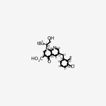 CC(C)(C)[C@@H](CO)n1cc(C(=O)O)c(=O)c2cc(Cc3cccc(Cl)c3F)cnc21